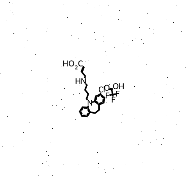 O=C(O)/C=C/CNCCCCN1c2ccccc2CCc2ccc(Cl)cc21.O=C(O)C(F)(F)F